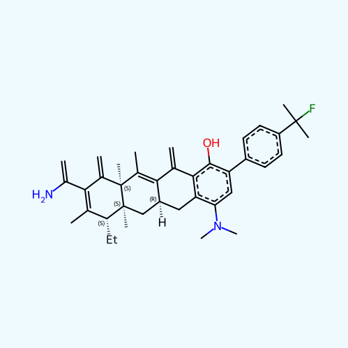 C=C(N)C1=C(C)[C@@H](CC)[C@]2(C)C[C@@H]3Cc4c(N(C)C)cc(-c5ccc(C(C)(C)F)cc5)c(O)c4C(=C)C3=C(C)[C@]2(C)C1=C